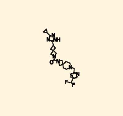 O=C(N1CC2(CCN(Cc3ncc(C(F)F)s3)CC2)C1)N1CC2(CC(c3nc(C4CC4)n[nH]3)C2)C1